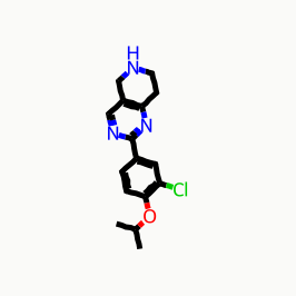 CC(C)Oc1ccc(-c2ncc3c(n2)CCNC3)cc1Cl